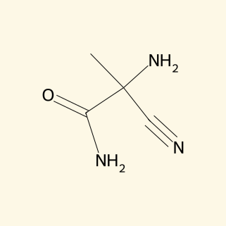 CC(N)(C#N)C(N)=O